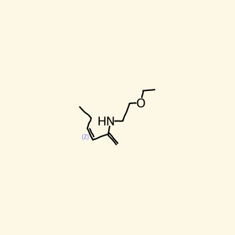 C=C(/C=C\CC)NCCOCC